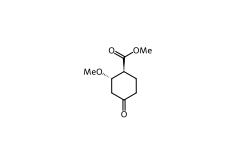 COC(=O)[C@H]1CCC(=O)C[C@@H]1OC